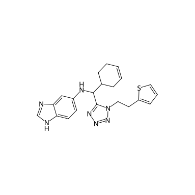 C1=CCC(C(Nc2ccc3[nH]cnc3c2)c2nnnn2CCc2cccs2)CC1